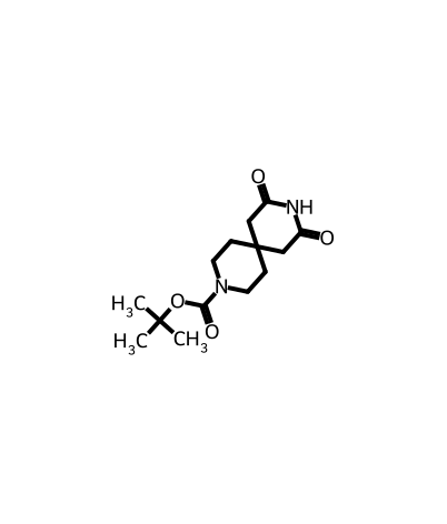 CC(C)(C)OC(=O)N1CCC2(CC1)CC(=O)NC(=O)C2